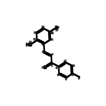 Cc1ccc(C(=O)/C=C/c2cc(Br)ccc2O)cc1